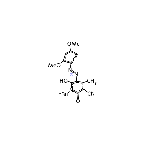 CCCCn1c(O)c(/N=N/c2ccc(OC)cc2OC)c(C)c(C#N)c1=O